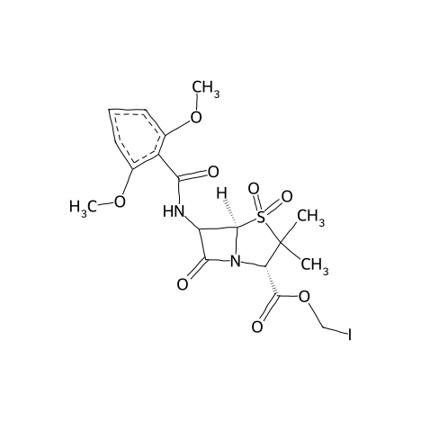 COc1cccc(OC)c1C(=O)NC1C(=O)N2[C@@H](C(=O)OCI)C(C)(C)S(=O)(=O)[C@H]12